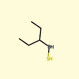 CCC(BS)CC